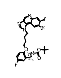 C[C@@H](NC(=O)OC(C)(C)C)c1cc(F)ccc1OCCCCn1cnc2cnc3cc(F)c(Br)cc3c21